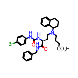 O=C(O)CCCN(CC[C@H](NC(=O)Nc1ccc(Br)cc1)C(=O)NCc1ccccc1)C1CCCc2ccccc21